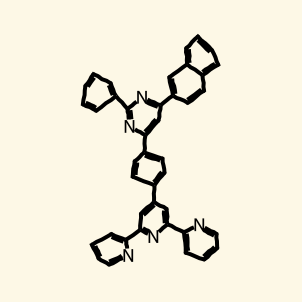 c1ccc(-c2nc(-c3ccc(-c4cc(-c5ccccn5)nc(-c5ccccn5)c4)cc3)cc(-c3ccc4ccccc4c3)n2)cc1